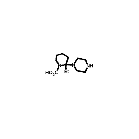 CCC1(N2CCNCC2)CCCCN1C(=O)O